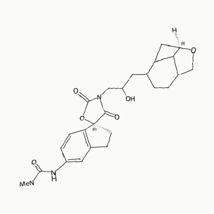 CNC(=O)Nc1ccc2c(c1)CC[C@@]21OC(=O)N(CC(O)CC2CCC3CO[C@@H]4CC2C34)C1=O